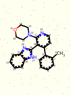 Cc1ccccc1-c1ccnc(N2CCOCC2)c1-c1nc2ccccc2[nH]1